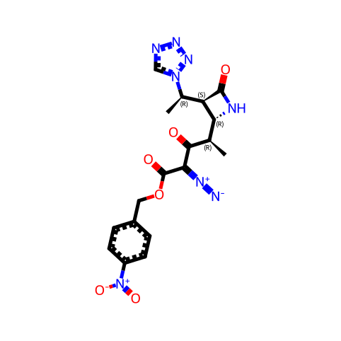 C[C@H]([C@H]1C(=O)N[C@@H]1[C@@H](C)C(=O)C(=[N+]=[N-])C(=O)OCc1ccc([N+](=O)[O-])cc1)n1cnnn1